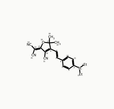 CCN(CC)c1ccc(C=CC2=C(C#N)C(=C(C#N)C#N)OC2(C)C)cc1